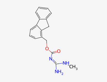 CNC(N)=NC(=O)OCc1cccc2c1Cc1ccccc1-2